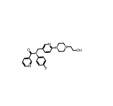 O=C(c1cccnc1)N(Cc1ccc(N2CCN(CCO)CC2)nc1)c1ccc(F)cc1